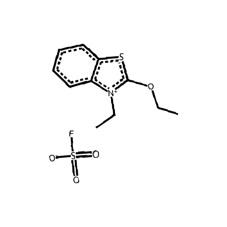 CCOc1sc2ccccc2[n+]1CC.O=S(=O)([O-])F